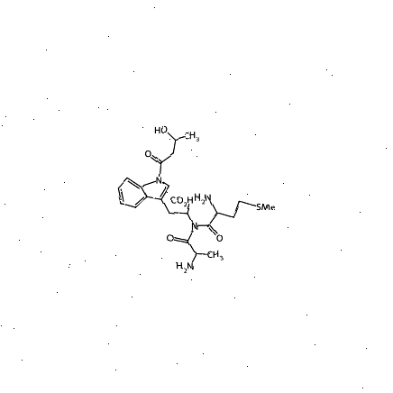 CSCCC(N)C(=O)N(C(=O)C(C)N)C(Cc1cn(C(=O)CC(C)O)c2ccccc12)C(=O)O